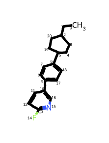 CCC1CCC(c2ccc(-c3ccc(F)nc3)cc2)CC1